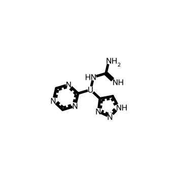 N=C(N)[NH][U]([c]1c[nH]nn1)[c]1ncncn1